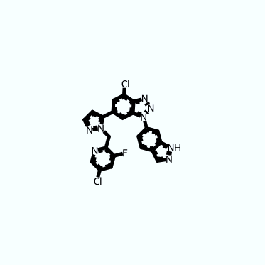 Fc1cc(Cl)cnc1Cn1nccc1-c1cc(Cl)c2nnn(-c3ccc4cn[nH]c4c3)c2c1